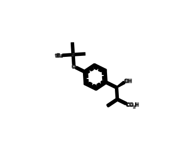 CC(C(=O)O)[C@H](O)c1ccc(O[Si](C)(C)C(C)(C)C)cc1